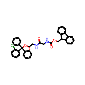 O=C(CNC(=O)OCC1c2ccccc2-c2ccccc21)NCC(=O)OC(c1ccccc1)(c1ccccc1)c1ccccc1Cl